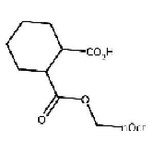 CCCCCCCCCOC(=O)C1CCCCC1C(=O)O